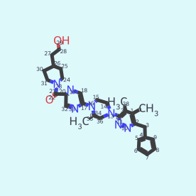 Cc1c(Cc2ccccc2)nnc(N2CCN(c3cnc(C(=O)N4CCC(CCO)CC4)cn3)[C@H](C)C2)c1C